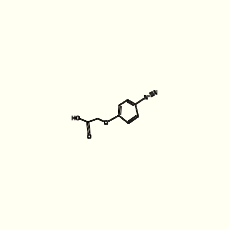 N#[N+]c1ccc(OCC(=O)O)cc1